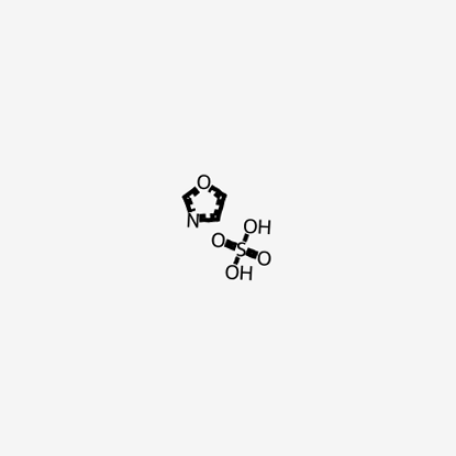 O=S(=O)(O)O.c1cocn1